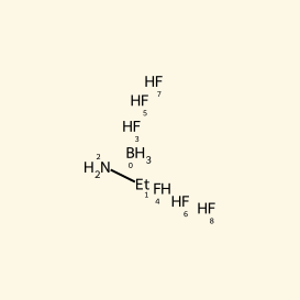 B.CCN.F.F.F.F.F.F